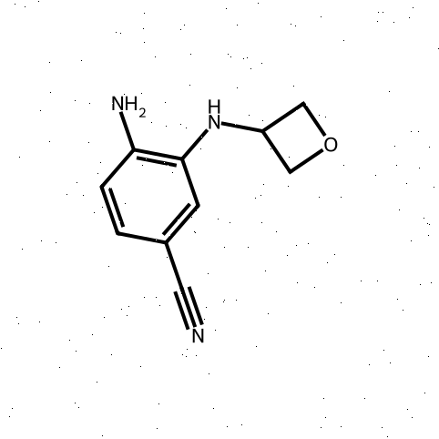 N#Cc1ccc(N)c(NC2COC2)c1